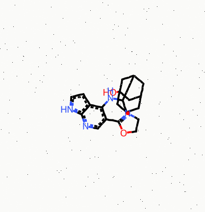 OC12CC3CC(C1)C(Nc1c(C4=NCCO4)cnc4[nH]ccc14)C(C3)C2